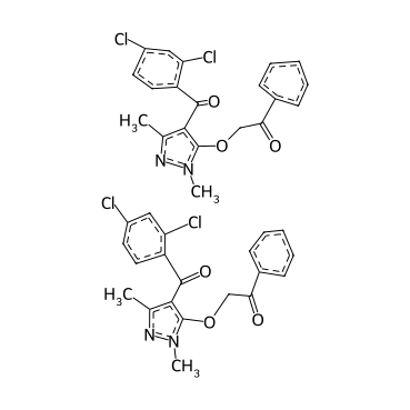 Cc1nn(C)c(OCC(=O)c2ccccc2)c1C(=O)c1ccc(Cl)cc1Cl.Cc1nn(C)c(OCC(=O)c2ccccc2)c1C(=O)c1ccc(Cl)cc1Cl